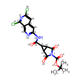 CC(C)(C)OC(=O)N1C(=O)C2C(C(=O)Nc3cc4cc(Cl)nc(Cl)c4cn3)C2C1=O